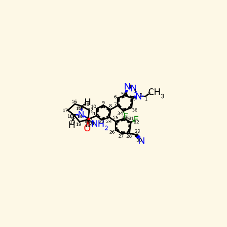 CCn1nnc2cc(-c3ccc(C(=O)N4[C@@H]5CC[C@H]4C[C@@H](N)C5)cc3-c3ccc(C#N)c(F)c3)c(F)cc21